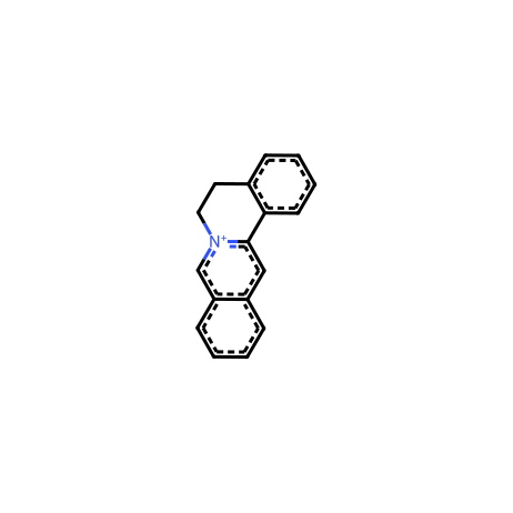 c1ccc2c(c1)CC[n+]1cc3ccccc3cc1-2